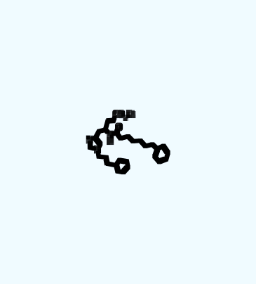 CCOC(=O)C=CC(Cc1cn(CC=Cc2ccccc2)cn1)NC(=O)CCCCCCc1ccccc1